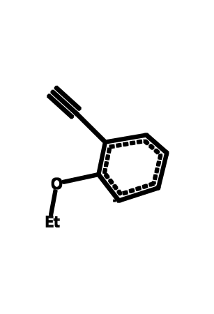 C#Cc1ccc[c]c1OCC